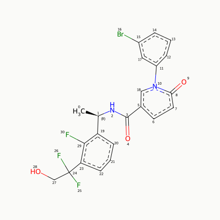 C[C@@H](NC(=O)c1ccc(=O)n(-c2cccc(Br)c2)c1)c1cccc(C(F)(F)CO)c1F